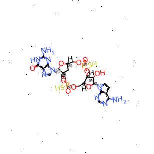 Nc1nc2c(ncn2[C@@H]2O[C@@H]3CO[P@@](=O)(S)O[C@H]4[C@@H](O)[C@H](n5ccc6c(N)ncnc65)O[C@@H]4CO[P@](=O)(S)O[C@@H]2C3)c(=O)[nH]1